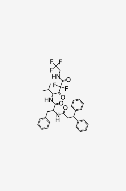 CC(C)[C@H](NC(=O)[C@H](Cc1ccccc1)NC(=O)CC(c1ccccc1)c1ccccc1)C(=O)C(F)(F)C(=O)NCC(F)(F)F